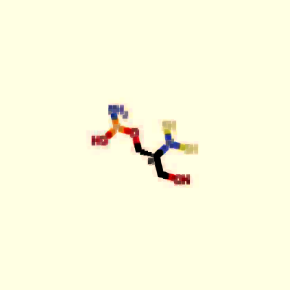 NP(O)OC[C@@H](CO)N(S)S